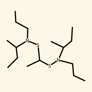 CCCN(SC(C)SN(CCC)C(C)CC)C(C)CC